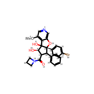 COc1cncc2c1C1(O)[C@H](O)C(C(=O)N3CCC3)C(c3ccccc3)[C@@]1(c1ccc(Br)cc1)O2